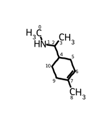 CNC(C)C1CC=C(C)CC1